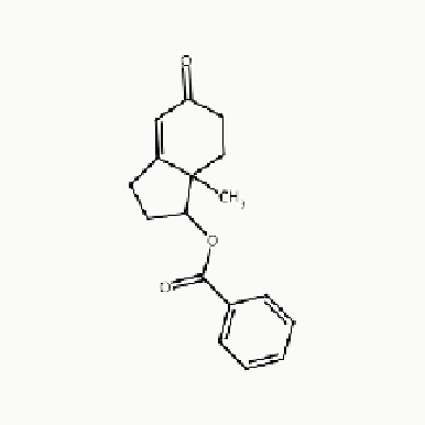 CC12CCC(=O)C=C1CCC2OC(=O)c1ccccc1